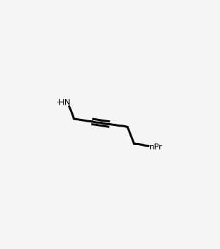 CCCCCC#CC[NH]